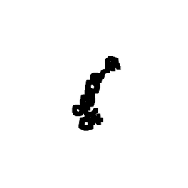 Cc1c(C(=O)N2CCN(c3ccc(OCCCN4CCCC4C)cc3)CC2)c2ccccc2n1C